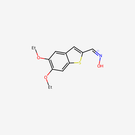 CCOc1cc2cc(/C=N\O)sc2cc1OCC